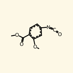 COC(=O)c1ccc(N=C=O)cc1OC